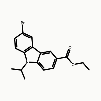 CCOC(=O)c1ccc2c(c1)c1cc(Br)ccc1n2C(C)C